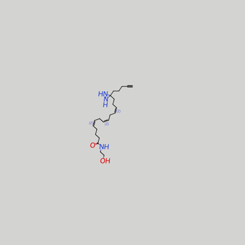 C#CCCCC1(CC/C=C\C/C=C\C/C=C\CCCC(=O)NCCO)NN1